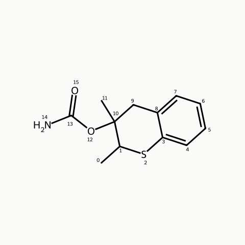 CC1Sc2ccccc2CC1(C)OC(N)=O